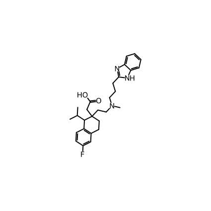 CC(C)C1c2ccc(F)cc2CCC1(CCN(C)CCCc1nc2ccccc2[nH]1)CC(=O)O